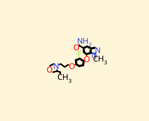 CCC1COCCN1CCCOc1ccc(Oc2cc(C(N)=O)cc3cnn(C)c23)c(F)c1